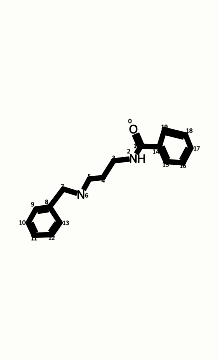 O=C(NCCC[N]Cc1ccccc1)c1ccccc1